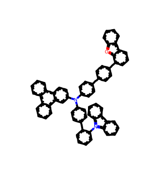 c1ccc(-n2c3ccccc3c3ccccc32)c(-c2ccc(N(c3ccc(-c4ccc(-c5cccc6c5oc5ccccc56)cc4)cc3)c3ccc4c5ccccc5c5ccccc5c4c3)cc2)c1